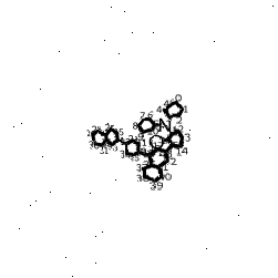 c1ccc(N(c2ccccc2)c2cccc3c2oc2c(-c4ccc(-c5ccc6ccccc6c5)cc4)c4ccccc4cc23)cc1